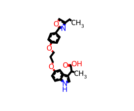 CCc1coc(-c2ccc(OCCCOc3ccc4[nH]cc(C(C)C(=O)O)c4c3)cc2)n1